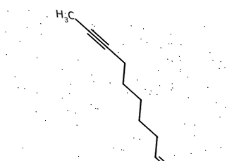 C=CCCCCCC#CC